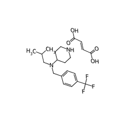 CC(C)CN(Cc1ccc(C(F)(F)F)cc1)C1CCNCC1.O=C(O)/C=C/C(=O)O